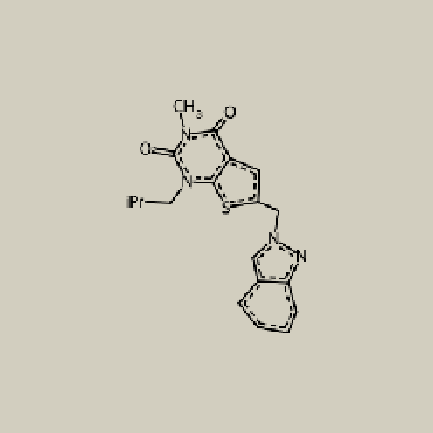 CC(C)Cn1c(=O)n(C)c(=O)c2cc(Cn3cc4ccccc4n3)sc21